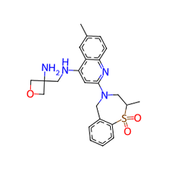 Cc1ccc2nc(N3Cc4ccccc4S(=O)(=O)C(C)C3)cc(NCC3(N)COC3)c2c1